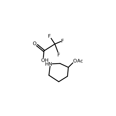 CC(=O)OC1CCCNC1.O=C(O)C(F)(F)F